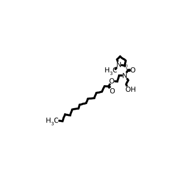 CCCCCCCCCCCCCC(=O)OCCN(CCO)C(=O)[C@H]1CCCN1C